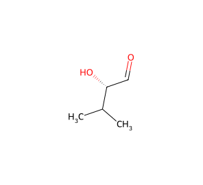 CC(C)[C@H](O)C=O